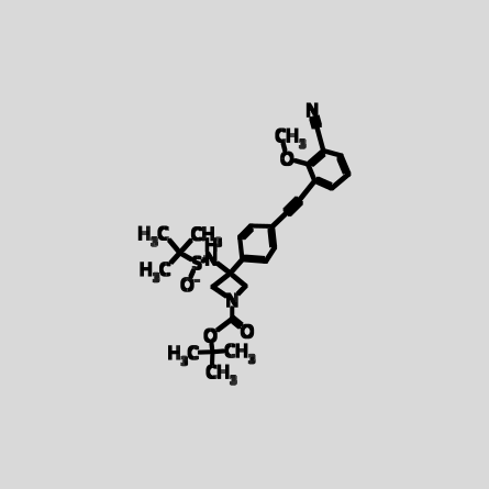 COc1c(C#N)cccc1C#Cc1ccc(C2(N[S+]([O-])C(C)(C)C)CN(C(=O)OC(C)(C)C)C2)cc1